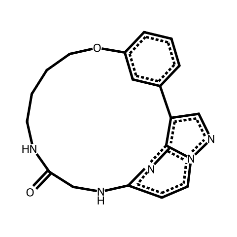 O=C1CNc2ccn3ncc(c3n2)-c2cccc(c2)OCCCCN1